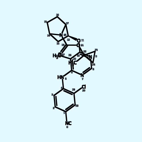 [C-]#[N+]c1ccc(Nc2ncnc(O[C@H]3CC4CCC3N4C(=O)OC3(C)CC3)c2C)c(Cl)c1